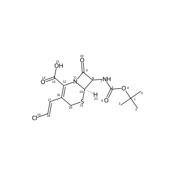 CC(C)(C)OC(=O)NC1C(=O)N2C(C(=O)O)=C(/C=C/Cl)CS[C@H]12